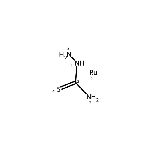 NNC(N)=S.[Ru]